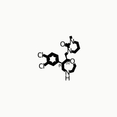 CN1CCCN(C[C@H]2OCCNC[C@H]2c2ccc(Cl)c(Cl)c2)C1=O